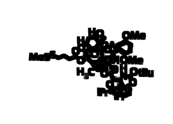 COc1ccc(OC)c(C(=O)O[C@H]2[C@@H]3[C@]4(OC(C)=O)CO[C@@H]4C[C@H]4O[C@@H]([C@H](OC(=O)CCCSSC)C5=C(C)[C@@H](OC(=O)[C@H](O[Si](C(C)C)(C(C)C)C(C)C)[C@@H](NC(=O)OC(C)(C)C)c6cccs6)C[C@]2(O)C5(C)C)[C@@]34C)c1